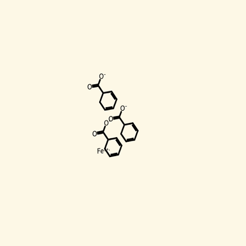 O=C([O-])C1C=CC=CC1.O=C([O-])C1C=CC=CC1.O=C([O-])C1C=CC=CC1.[Fe+3]